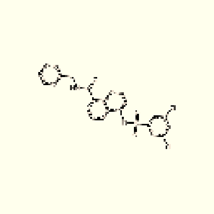 O=C(NCc1ccccc1)c1cccc2c(NS(=O)(=O)c3cc(Cl)cc(Cl)c3)cccc12